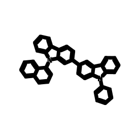 c1ccc(-n2c3ccccc3c3cc(-c4ccc5c6ccccc6n(-c6cccc7ccccc67)c5c4)ccc32)cc1